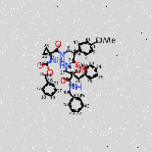 COc1ccc([C@H](CNC(=O)C2(NC(=O)OCc3ccccc3)CC2)C(=O)NC[C@](O)(Cc2ccccc2)C(=O)NCc2ccccc2)cc1